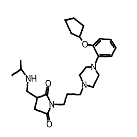 CC(C)NCC1CC(=O)N(CCCN2CCN(c3ccccc3OC3CCCC3)CC2)C1=O